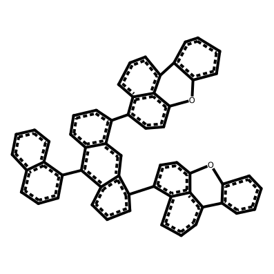 c1ccc2c(c1)Oc1ccc(-c3cccc4c(-c5cccc6ccccc56)c5cccc(-c6ccc7c8c(cccc68)-c6ccccc6O7)c5cc34)c3cccc-2c13